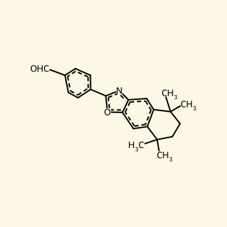 CC1(C)CCC(C)(C)c2cc3oc(-c4ccc(C=O)cc4)nc3cc21